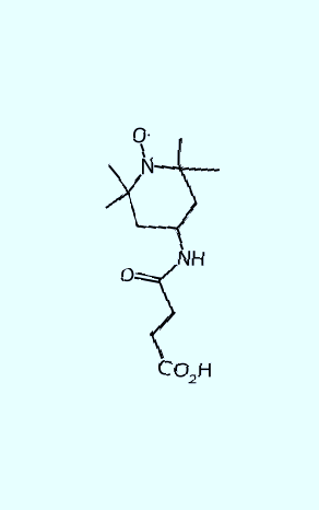 CC1(C)CC(NC(=O)CCC(=O)O)CC(C)(C)N1[O]